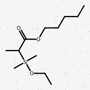 CCCCCOC(=O)C(C)[Si](C)(C)OCC